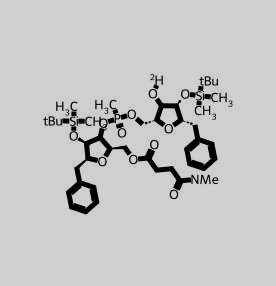 [2H]OC1[C@@H](COP(C)(=O)OC2[C@@H](COC(=O)CCC(=O)NC)O[C@@H](Cc3ccccc3)[C@H]2O[Si](C)(C)C(C)(C)C)O[C@@H](Cc2ccccc2)[C@H]1O[Si](C)(C)C(C)(C)C